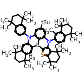 Cc1c(N2c3cc(C(C)(C)C)cc4c3B(c3cc5c(cc3N4c3ccc4c(c3)C(C)(C)CCC4(C)C)C(C)(C)CCC5(C)C)c3sc4c(c32)C(C)(C)CCC4(C)C)ccc2c1C(C)(C)CCC2(C)C